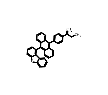 C=C(CC)c1ccc(-c2c3ccccc3c(-c3cccc4sc5ccccc5c34)c3ccccc23)cc1